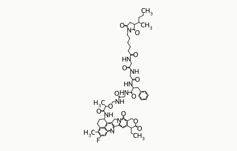 CCCC(C)C1CC(=O)N(CCCCCC(=O)NCC(=O)NCC(=O)NC(Cc2ccccc2)C(=O)NCC(=O)NCOC(C)C(=O)NC2CCc3c(C)c(F)cc4nc5c(c2c34)Cn2c-5cc3c(c2=O)COC(=O)C3CC)C1=O